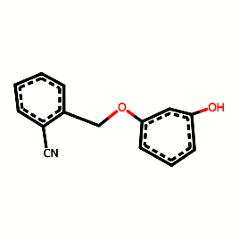 N#Cc1ccccc1COc1cccc(O)c1